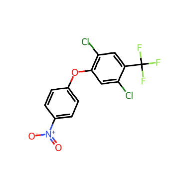 O=[N+]([O-])c1ccc(Oc2cc(Cl)c(C(F)(F)F)cc2Cl)cc1